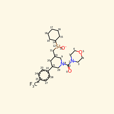 O=C(N1CCOCC1)N1CC(C[S+]([O-])C2CCCCC2)CC(c2ccc(C(F)(F)F)cc2)C1